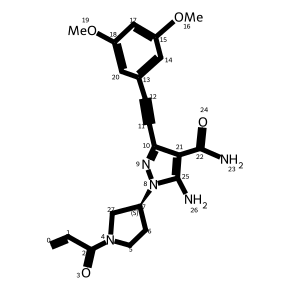 C=CC(=O)N1CC[C@H](n2nc(C#Cc3cc(OC)cc(OC)c3)c(C(N)=O)c2N)C1